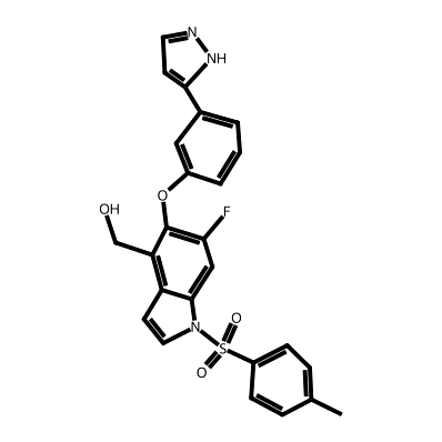 Cc1ccc(S(=O)(=O)n2ccc3c(CO)c(Oc4cccc(-c5ccn[nH]5)c4)c(F)cc32)cc1